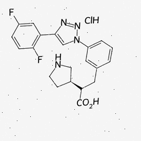 Cl.O=C(O)C(Cc1cccc(-n2cc(-c3cc(F)ccc3F)nn2)c1)[C@H]1CCNC1